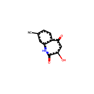 N#Cc1ccc2c(=O)cc(O)c(=O)[nH]c2c1